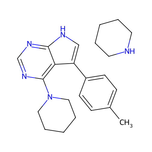 C1CCNCC1.Cc1ccc(-c2c[nH]c3ncnc(N4CCCCC4)c23)cc1